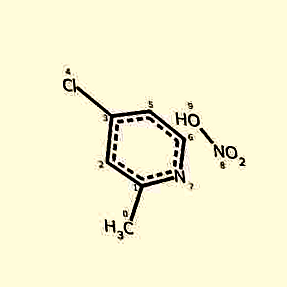 Cc1cc(Cl)ccn1.O=[N+]([O-])O